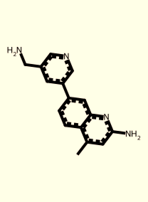 Cc1cc(N)nc2cc(-c3cncc(CN)c3)ccc12